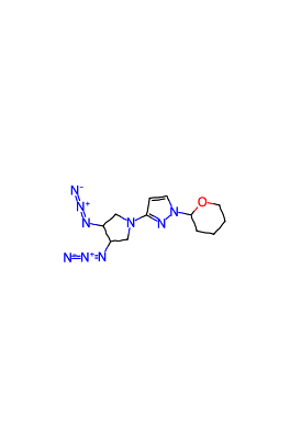 [N-]=[N+]=NC1CN(c2ccn(C3CCCCO3)n2)CC1N=[N+]=[N-]